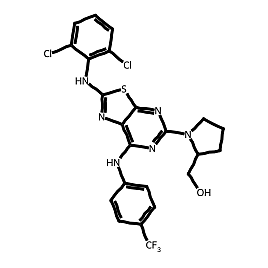 OCC1CCCN1c1nc(Nc2ccc(C(F)(F)F)cc2)c2nc(Nc3c(Cl)cccc3Cl)sc2n1